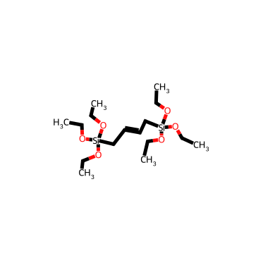 CCO[Si](CC=CC[Si](OCC)(OCC)OCC)(OCC)OCC